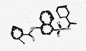 Cc1ccccc1C(=O)Nc1ccc(S(=O)(=O)NC(C)C2CCCCC2)c2ccccc12